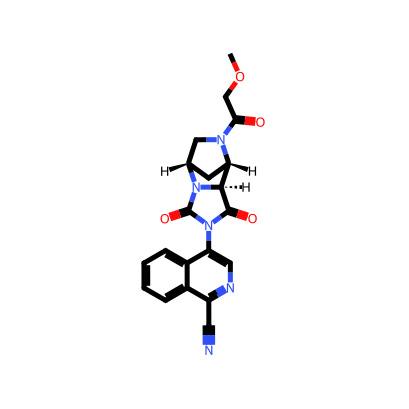 COCC(=O)N1C[C@@H]2C[C@H]1[C@H]1C(=O)N(c3cnc(C#N)c4ccccc34)C(=O)N21